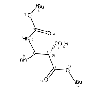 CCCC(NC(=O)OC(C)(C)C)[C@H](C(=O)O)C(=O)OC(C)CC